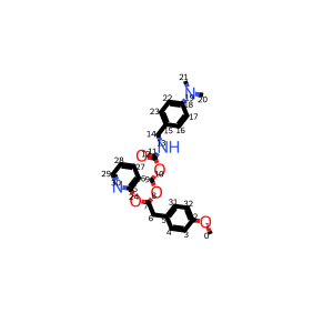 COc1ccc(CC(OCOC(=O)NCc2ccc(N(C)C)cc2)Oc2ccccn2)cc1